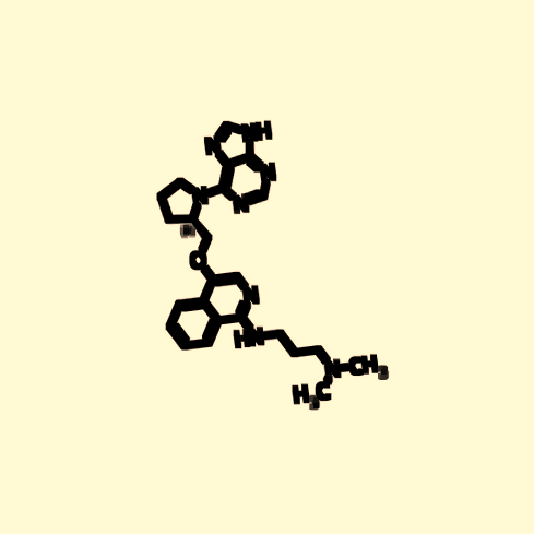 CN(C)CCCNc1ncc(OC[C@H]2CCCN2c2ncnc3[nH]cnc23)c2ccccc12